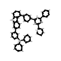 c1ccc(-c2nc(-c3ccccc3)nc(-c3ccc(-c4cccc5oc6cc(-c7cccc(N(c8ccccc8)c8ccccc8)c7)ccc6c45)cc3)n2)cc1